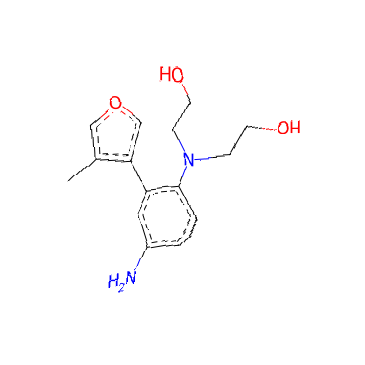 Cc1cocc1-c1cc(N)ccc1N(CCO)CCO